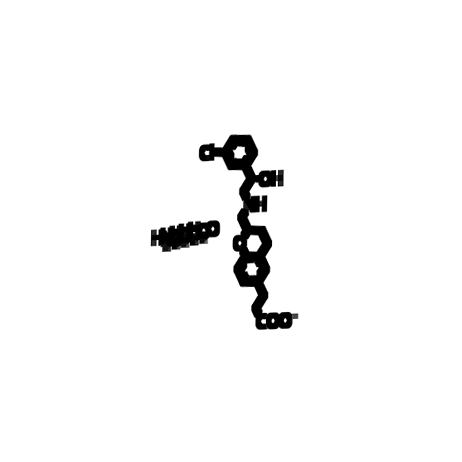 O.O.O.O.O.O=C([O-])CCc1ccc2c(c1)CCC(CNC[C@H](O)c1cccc(Cl)c1)O2.[Na+]